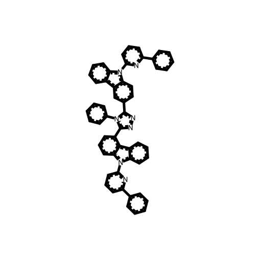 c1ccc(-c2cccc(-n3c4ccccc4c4cc(-c5nnc(-c6cccc7c6c6ccccc6n7-c6cccc(-c7ccccc7)n6)n5-c5ccccc5)ccc43)n2)cc1